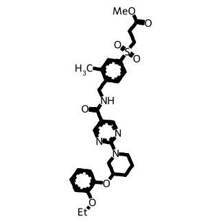 CCOc1ccccc1OC1CCCN(c2ncc(C(=O)NCc3ccc(S(=O)(=O)CCC(=O)OC)cc3C)cn2)C1